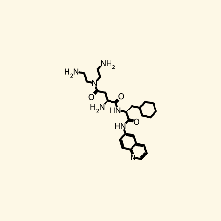 NCCN(CCN)C(=O)C[C@H](N)C(=O)N[C@@H](CC1CCCCC1)C(=O)Nc1ccc2ncccc2c1